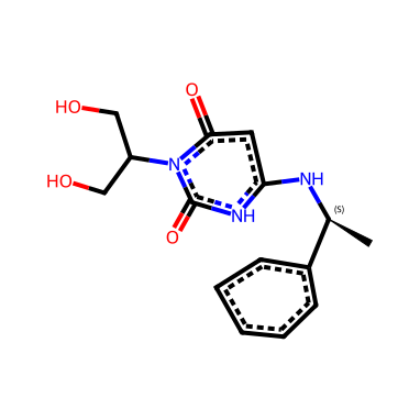 C[C@H](Nc1cc(=O)n(C(CO)CO)c(=O)[nH]1)c1ccccc1